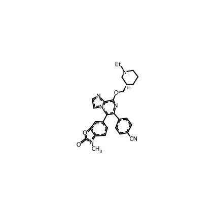 CCN1CCC[C@@H](COc2nc(-c3ccc(C#N)cc3)c(-c3ccc4c(c3)oc(=O)n4C)n3ccnc23)C1